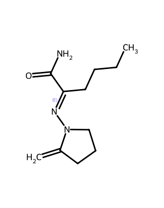 C=C1CCCN1/N=C(\CCCC)C(N)=O